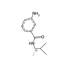 CC(C)[C@H](C)NC(=O)c1cccc(N)c1